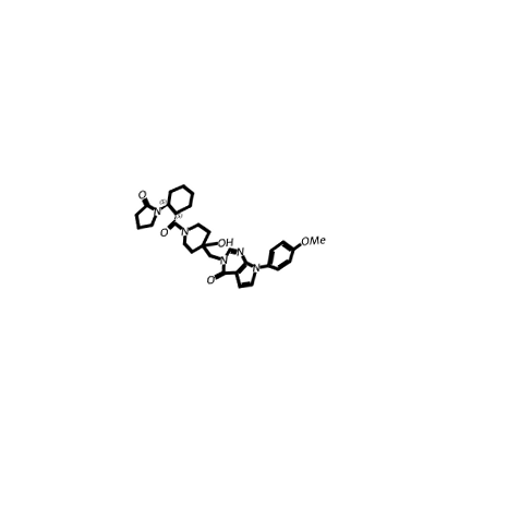 COc1ccc(-n2ccc3c(=O)n(CC4(O)CCN(C(=O)[C@H]5CCCC[C@@H]5N5CCCC5=O)CC4)cnc32)cc1